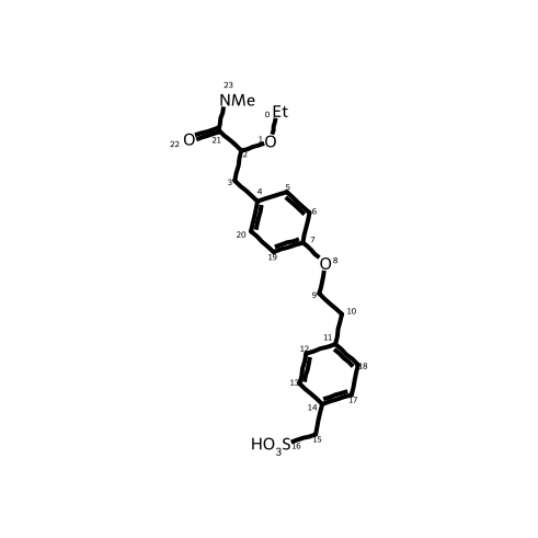 CCOC(Cc1ccc(OCCc2ccc(CS(=O)(=O)O)cc2)cc1)C(=O)NC